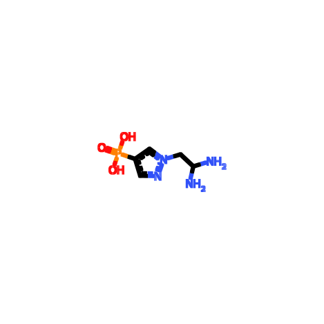 NC(N)Cn1cc(P(=O)(O)O)cn1